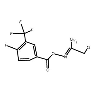 N/C(CCl)=N\OC(=O)c1ccc(F)c(C(F)(F)F)c1